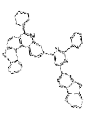 c1ccc(-c2nc(-c3ccc4c(c3)nc(-c3ccccc3)c3ccc5sc6ccccc6c5c34)cc(-c3ccc4c(c3)oc3ccccc34)n2)cc1